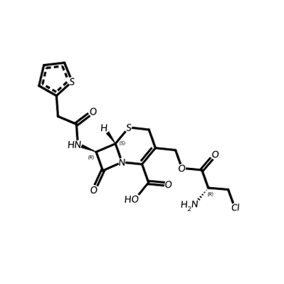 N[C@@H](CCl)C(=O)OCC1=C(C(=O)O)N2C(=O)[C@@H](NC(=O)Cc3cccs3)[C@@H]2SC1